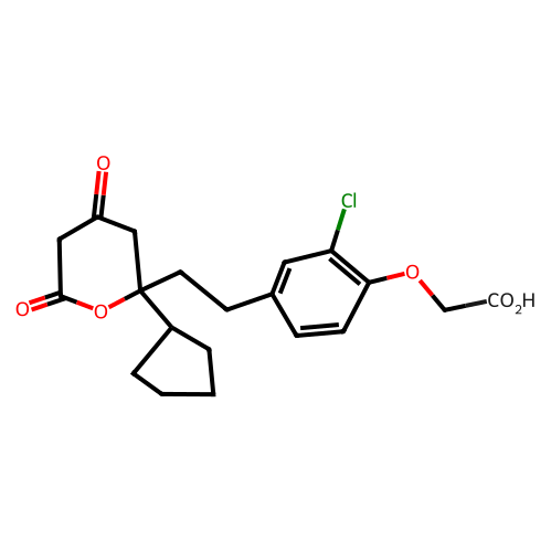 O=C(O)COc1ccc(CCC2(C3CCCC3)CC(=O)CC(=O)O2)cc1Cl